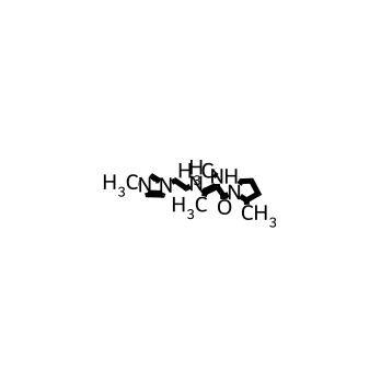 CN/C(C(=O)N1CCCC1C)=C(/C)NCCn1cc[n+](C)c1